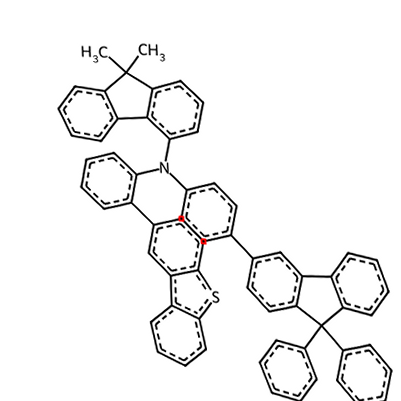 CC1(C)c2ccccc2-c2c(N(c3ccc(-c4ccc5c(c4)-c4ccccc4C5(c4ccccc4)c4ccccc4)cc3)c3ccccc3-c3ccc4sc5ccccc5c4c3)cccc21